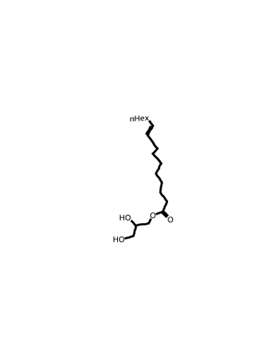 CCCCCCC=CCCCCCCCC(=O)OCC(O)CO